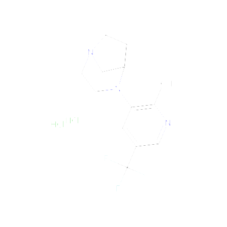 Cc1ncc(C(F)(F)F)cc1N1CCN2CCC1C2.Cl.Cl